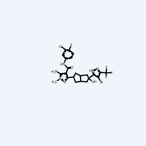 Cn1nc(C2CC3CC(O)(c4[nH]nc(C(F)(F)F)c4Br)CC3C2)c(C(=O)Nc2ccc(F)c(Cl)c2)c1N